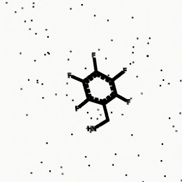 [NH]Cc1c(F)c(F)c(F)c(F)c1F